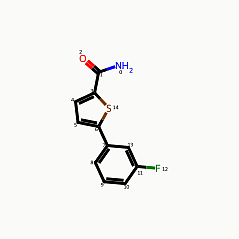 NC(=O)c1ccc(-c2cccc(F)c2)s1